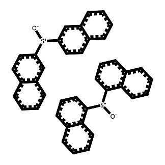 [O-][S+](c1ccc2ccccc2c1)c1ccc2ccccc2c1.[O-][S+](c1cccc2ccccc12)c1cccc2ccccc12